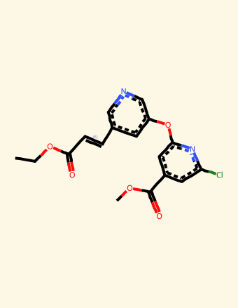 CCOC(=O)/C=C/c1cncc(Oc2cc(C(=O)OC)cc(Cl)n2)c1